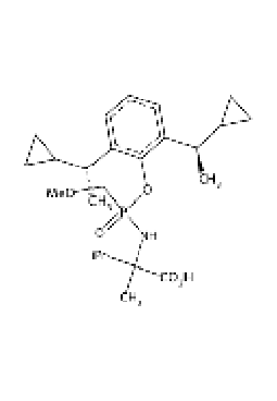 COCP(=O)(NC(C)(C(=O)O)C(C)C)Oc1c([C@H](C)C2CC2)cccc1[C@H](C)C1CC1